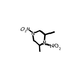 CC1CN([N+](=O)[O-])CC(C)N1[N+](=O)[O-]